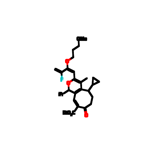 C=C(F)/C(=C\C1=C(C)C2=C(/C=C(/C(=O)OCC)C(=O)CCC2C2CC2)C(C(C)C)O1)OCCCOC